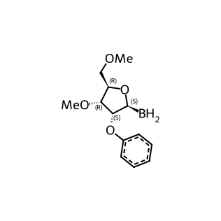 B[C@@H]1O[C@H](COC)[C@@H](OC)[C@H]1Oc1ccccc1